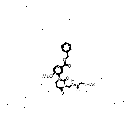 COc1ccc(C(=O)OCc2ccccc2)cc1N1CCC(=O)N(CNC(=O)CNC(C)=O)C1=O